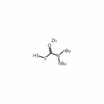 CCCCN(CCCC)C(=O)SS.[Zn]